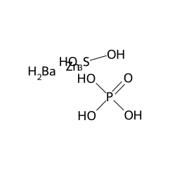 O=P(O)(O)O.O=S(=O)(O)O.[BaH2].[Zn]